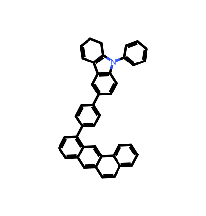 C1=Cc2c(n(-c3ccccc3)c3ccc(-c4ccc(-c5cccc6cc7ccc8ccccc8c7cc56)cc4)cc23)CC1